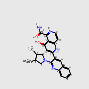 COC1CN(c2nc3ccccc3cc2-c2cc(=O)c3c(C(N)=O)nccc3[nH]2)CC1C(F)(F)F